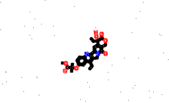 CCc1c2c(nc3ccc(OC(C)(C)C(=O)OC)cc13)-c1cc3c(c(=O)n1C2)COC(=O)[C@]3(O)CC